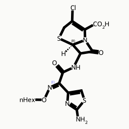 CCCCCCO/N=C(/C(=O)NC1C(=O)N2C(C(=O)O)=C(Cl)CS[C@H]12)c1csc(N)n1